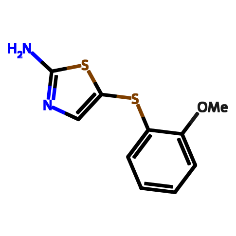 COc1ccccc1Sc1cnc(N)s1